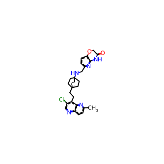 Cc1ccc2ncc(Cl)c(CCC34CCC(NCc5ccc6c(n5)NC(=O)CO6)(CC3)CC4)c2n1